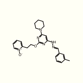 Cc1cccc(/C=N/Nc2cc(N3CCCCC3)nc(OCCc3cccc[n+]3[O-])n2)c1